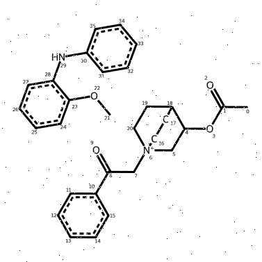 CC(=O)OC1C[N+]2(CC(=O)c3ccccc3)CCC1CC2.COc1ccccc1Nc1ccccc1